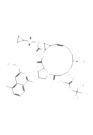 CC(C)Oc1cc2c(Cl)cccc2c(O[C@@H]2C[C@H]3C(=O)N[C@]4(C(=O)NS(=O)(=O)C5CC5)CC4/C=C\CC[C@@H](C)C[C@@H](C)[C@H](NC(=O)OC(C)(C)C(F)(F)F)C(=O)N3C2)n1